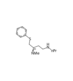 CCCNCC[C@H](CSc1ccccc1)NC